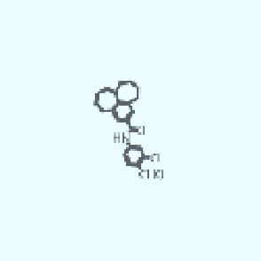 O=Cc1ccc(NC(=O)c2cc3c4c(c2)CCCCC4CCCC3)cc1Cl